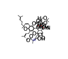 COC(=O)/C(C)=C\CC1(O)C(=O)C2CC(C(C)C)C13Oc1c(CC=C(C)C)c4c(c(O[C@H]5O[C@H]6COC(C)(C)O[C@@H]6[C@@H](O)[C@@H]5O)c1C(=O)C3C2C(C#N)C#N)C=CC(C)(CCC=C(C)C)O4